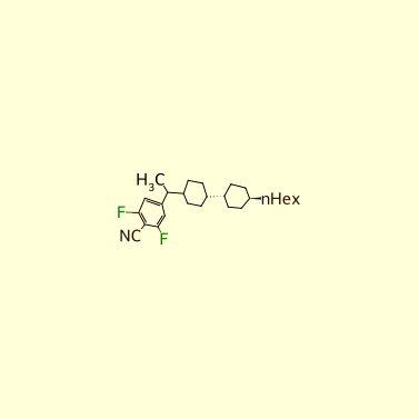 CCCCCC[C@H]1CC[C@H](C2CCC(C(C)c3cc(F)c(C#N)c(F)c3)CC2)CC1